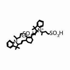 CC(CCS(=O)(=O)O)N1c2ccccc2C(C)(C)C1/C=C/C1CCCC(/C=C/C2=[N+](C(C)CCS(=O)(=O)O)c3ccccc3C2(C)C)=C1Cl